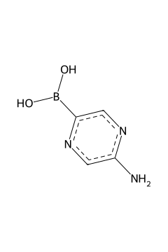 Nc1cnc(B(O)O)cn1